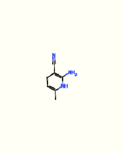 CC1=CCC(C#N)=C(N)N1